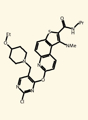 CCOC1CCN(Cc2cnc(Cl)nc2Oc2ccc3c(ccc4sc(C(=O)NC(C)C)c(NC)c43)n2)CC1